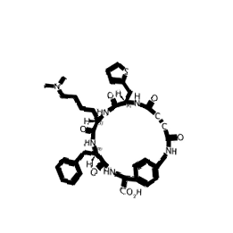 CN(C)CCCC[C@@H]1NC(=O)[C@@H](Cc2cccs2)NC(=O)CCC(=O)Nc2ccc(cc2)C(C(=O)O)NC(=O)[C@@H](Cc2ccccc2)NC1=O